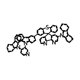 c1ccc2c(c1)Sc1ccc(-c3ccc4c(c3)c3ccccc3n4-c3cnccc3-n3c4ccccc4c4ccccc43)cc1C21c2cccnc2-c2ncc(-n3c4ccccc4c4ccccc43)cc21